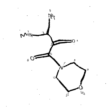 CCCC(NC)C(=O)C(=O)N1CCOCC1